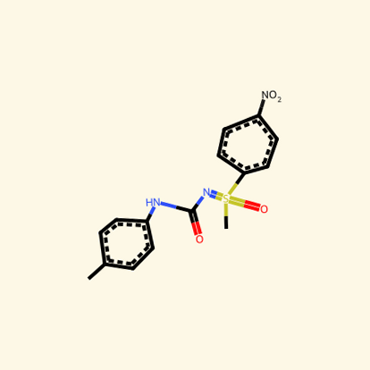 Cc1ccc(NC(=O)N=S(C)(=O)c2ccc([N+](=O)[O-])cc2)cc1